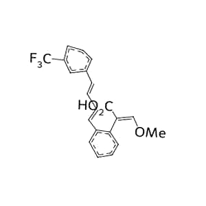 CO/C=C(/C(=O)O)c1ccccc1C=C/C=C/c1cccc(C(F)(F)F)c1